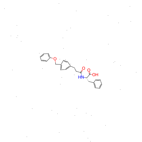 O=C(CCc1ccc(COc2ccccc2)cc1)N[C@@H](Cc1ccccc1)C(=O)O